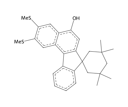 CSc1cc2c(O)cc3c(c2cc1SC)-c1ccccc1C31CC(C)(C)CC(C)(C)C1